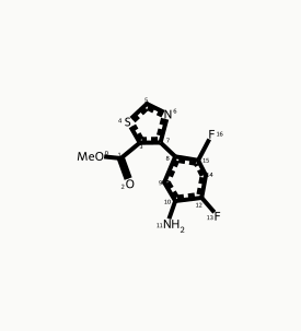 COC(=O)c1scnc1-c1cc(N)c(F)cc1F